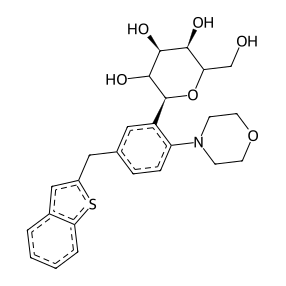 OCC1O[C@@H](c2cc(Cc3cc4ccccc4s3)ccc2N2CCOCC2)C(O)[C@@H](O)[C@H]1O